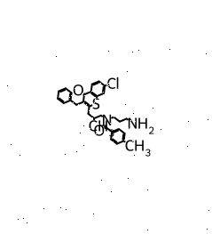 Cc1ccc(C(=O)N(CCCN)CC(C)Cc2sc3cc(Cl)ccc3c(=O)c2Cc2ccccc2)cc1